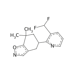 CC1(C)CC(c2ncccc2C(F)F)Cc2cnoc21